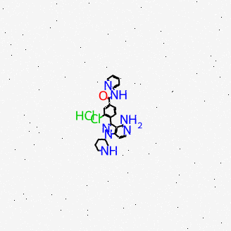 Cl.Nc1nccc2c1c(-c1ccc(C(=O)Nc3ccccn3)cc1Cl)nn2C1CCCNC1